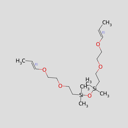 C/C=C/OCCOCC[Si](C)(C)O[Si](C)(C)CCOCCO/C=C/C